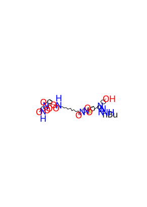 CCCCNc1ncc2c(-c3ccc(S(=O)(=O)N4CCN(C(=O)CCCCCCCCCCNC(=O)COc5cccc6c5C(=O)N(C5CCC(=O)NC5=O)C6=O)CC4)cc3)cn([C@H]3CC[C@H](O)CC3)c2n1